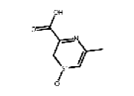 CC1=C[S+]([O-])CC(C(=O)O)=N1